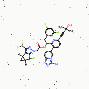 CC(C)(O)C#Cc1ccc(-c2ccc3nnc(N)n3c2)c([C@H](Cc2cc(F)cc(F)c2)NC(=O)Cn2nc(C(F)F)c3c2C(F)(F)[C@@H]2C[C@H]32)n1